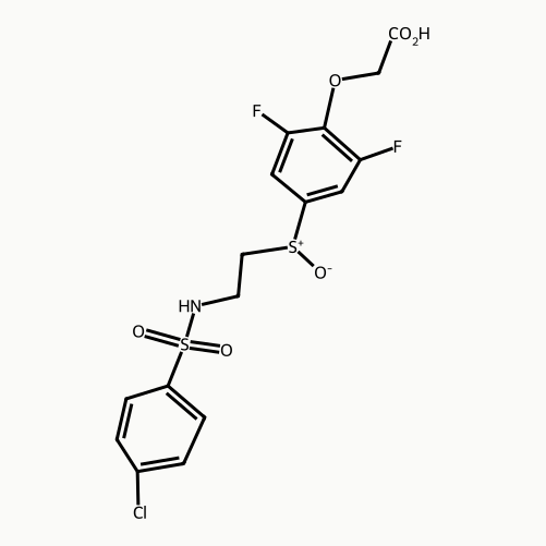 O=C(O)COc1c(F)cc([S+]([O-])CCNS(=O)(=O)c2ccc(Cl)cc2)cc1F